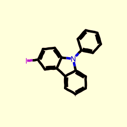 Ic1ccc2c(c1)c1c[c]ccc1n2-c1ccccc1